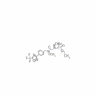 C=NN(/C=C(\C)C(=O)OCC)CC(=O)N(Cc1ccc(-c2noc(C(F)(F)F)n2)cc1)OC